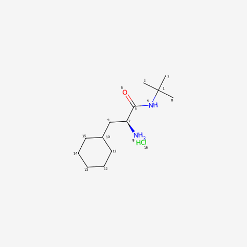 CC(C)(C)NC(=O)[C@@H](N)CC1CCCCC1.Cl